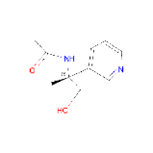 CC(=O)N[C@@](C)(CO)c1cccnc1